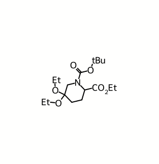 CCOC(=O)C1CCC(OCC)(OCC)CN1C(=O)OC(C)(C)C